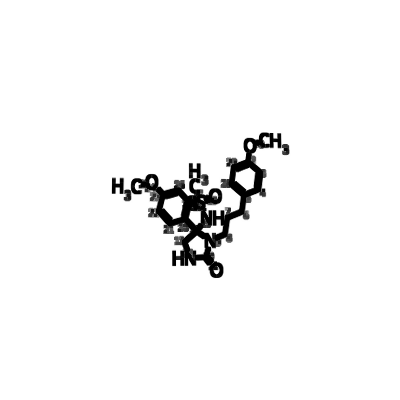 COc1ccc(CCCN2C(=O)NCC2(NS(C)(=O)=O)c2ccc(OC)cc2)cc1